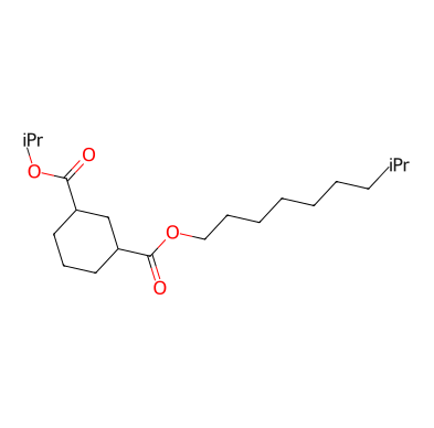 CC(C)CCCCCCCOC(=O)C1CCCC(C(=O)OC(C)C)C1